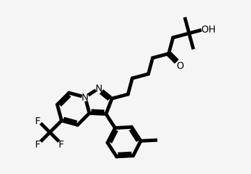 Cc1cccc(-c2c(CCCCC(=O)CC(C)(C)O)nn3ccc(C(F)(F)F)cc23)c1